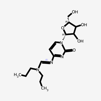 CCCN(/C=N/c1ccn([C@@H]2O[C@H](CO)C(O)C2O)c(=O)n1)CCC